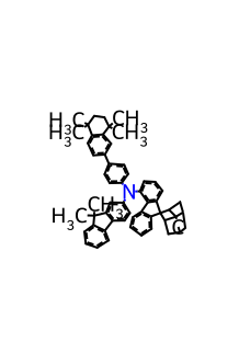 CC1(C)CCC(C)(C)c2cc(-c3ccc(N(c4ccc5c(c4)C(C)(C)c4ccccc4-5)c4cccc5c4-c4ccccc4C54C5CC6CC7CC4C75C6)cc3)ccc21